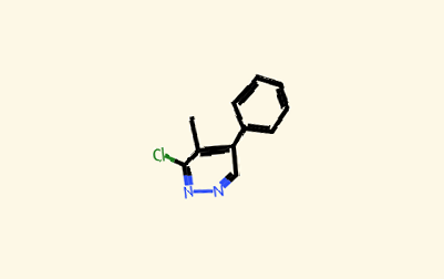 Cc1c(-c2ccccc2)cnnc1Cl